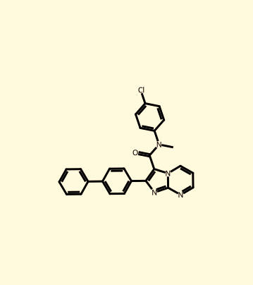 CN(C(=O)c1c(-c2ccc(-c3ccccc3)cc2)nc2ncccn12)c1ccc(Cl)cc1